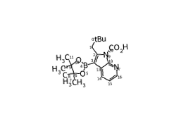 CC(C)(C)Cc1c(B2OC(C)(C)C(C)(C)O2)c2cccnc2n1C(=O)O